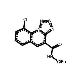 CC(C)CONC(=O)c1cc2cccc(Cl)c2n2nnnc12